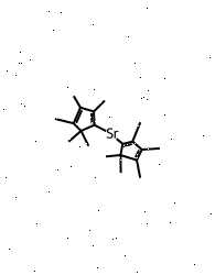 CC1=C(C)C(C)(C)[C]([Sr][C]2=C(C)C(C)=C(C)C2(C)C)=C1C